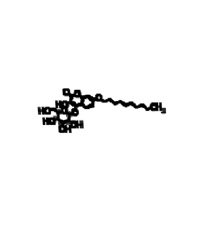 CCCCCCCCCCOc1ccc2c(O[C@@H]3O[C@H](CO)[C@@H](O)[C@H](O)[C@H]3O)c(O)c(=O)oc2c1